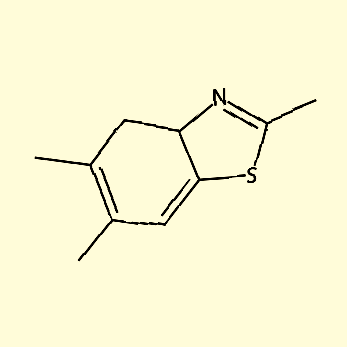 CC1=NC2CC(C)=C(C)C=C2S1